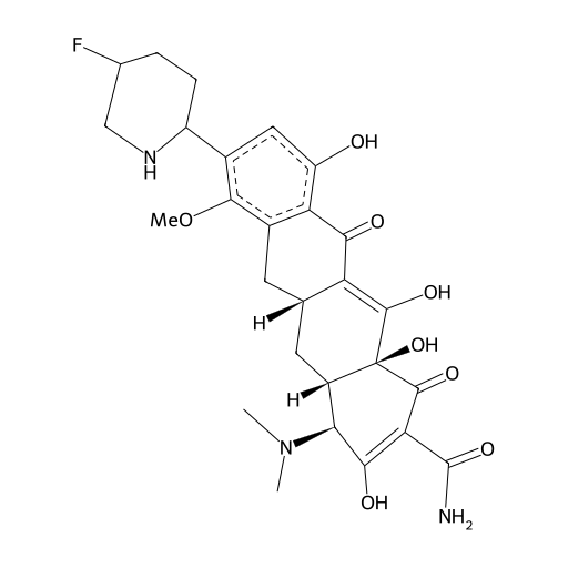 COc1c(C2CCC(F)CN2)cc(O)c2c1C[C@H]1C[C@H]3[C@H](N(C)C)C(O)=C(C(N)=O)C(=O)[C@@]3(O)C(O)=C1C2=O